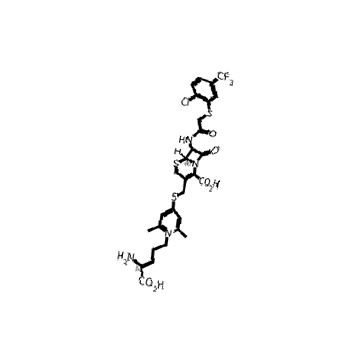 Cc1cc(SCC2=C(C(=O)O)N3C(=O)C(NC(=O)CSc4cc(C(F)(F)F)ccc4Cl)[C@H]3SC2)cc(C)[n+]1CCC[C@H](N)C(=O)O